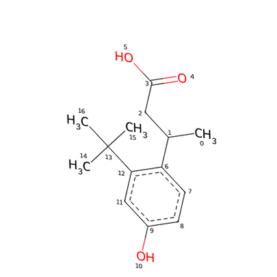 CC(CC(=O)O)c1ccc(O)cc1C(C)(C)C